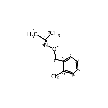 CC(C)=NOCc1ccccc1Cl